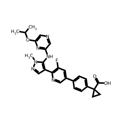 CC(C)Oc1cncc(Nc2c(-c3ncc(-c4ccc(C5(C(=O)O)CC5)cc4)cc3F)cnn2C)n1